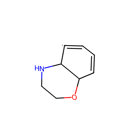 [C]1=CC=CC2OCCNC12